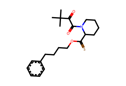 CC(C)(C)C(=O)C(=O)N1CCCCC1C(=S)OCCCCc1ccccc1